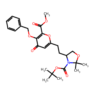 COC(=O)c1oc(CCC2COC(C)(C)N2C(=O)OC(C)(C)C)cc(=O)c1OCc1ccccc1